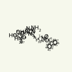 CC(OC(=O)N1CCC(CC#Cc2nc(N)c3ncn(CO[C@H](C(=O)NC4CC4)C(O)CO)c3n2)CC1)C1c2ccccc2-c2ccccc21